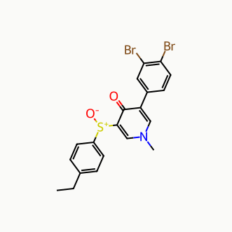 CCc1ccc([S+]([O-])c2cn(C)cc(-c3ccc(Br)c(Br)c3)c2=O)cc1